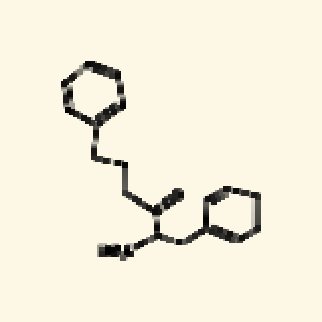 CCOC(=O)C(Cc1ccccc1)C(=O)CCCc1ccccc1